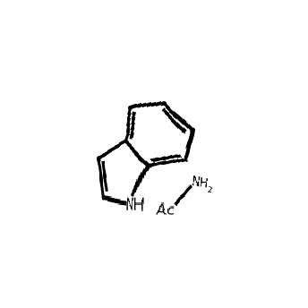 CC(N)=O.c1ccc2[nH]ccc2c1